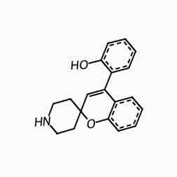 Oc1ccccc1C1=CC2(CCNCC2)Oc2ccccc21